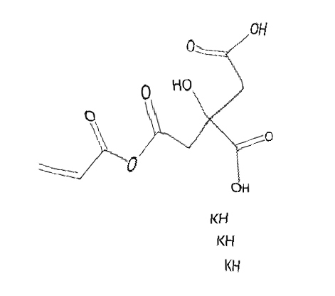 C=CC(=O)OC(=O)CC(O)(CC(=O)O)C(=O)O.[KH].[KH].[KH]